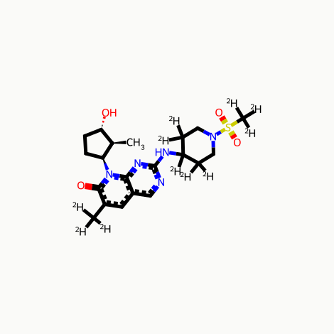 [2H]C([2H])([2H])c1cc2cnc(NC3([2H])C([2H])([2H])CN(S(=O)(=O)C([2H])([2H])[2H])CC3([2H])[2H])nc2n([C@H]2CC[C@H](O)[C@H]2C)c1=O